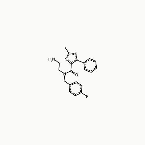 Cc1nc(C(=O)N(CCN)Cc2ccc(F)cc2)c(-c2ccccc2)s1